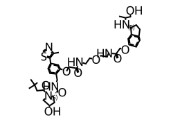 Cc1ncsc1-c1ccc(CNC(=O)[C@@H]2CC(O)CN2C(=O)CC(C)(C)C)c(OCC(=O)NCCOCCNC(=O)COc2ccc3c(c2)[C@H](NC(C)CO)CC3)c1